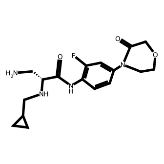 NC[C@@H](NCC1CC1)C(=O)Nc1ccc(N2CCOCC2=O)cc1F